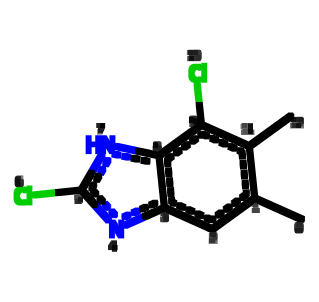 Cc1cc2nc(Cl)[nH]c2c(Cl)c1C